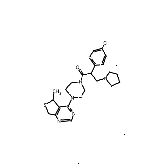 CC1SCc2ncnc(N3CCN(C(=O)C(CN4CCCC4)c4ccc(Cl)cc4)CC3)c21